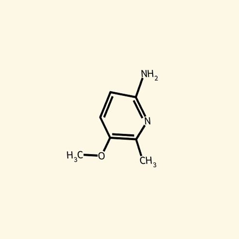 COc1ccc(N)nc1C